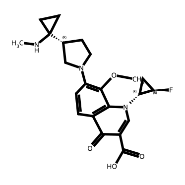 CNC1([C@@H]2CCN(c3ccc4c(=O)c(C(=O)O)cn([C@@H]5C[C@H]5F)c4c3OC)C2)CC1